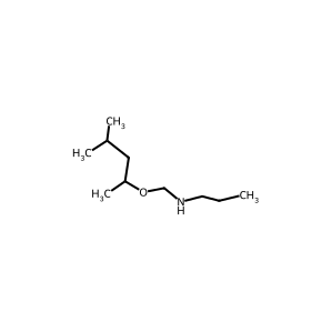 CCCNCOC(C)CC(C)C